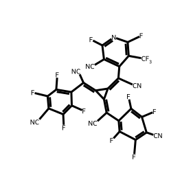 N#CC(=C1C(=C(/C#N)c2c(F)c(F)c(C#N)c(F)c2F)/C1=C(/C#N)c1c(F)c(F)c(C#N)c(F)c1F)c1c(C#N)c(F)nc(F)c1C(F)(F)F